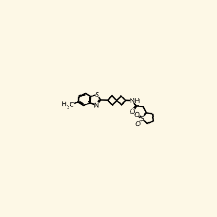 Cc1ccc2sc(C3CC4(CC(NC(=O)CC5CCCS5(=O)=O)C4)C3)nc2c1